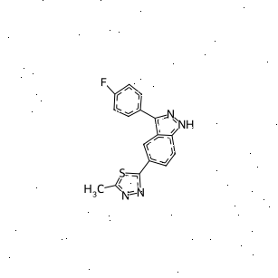 Cc1nnc(-c2ccc3[nH]nc(-c4ccc(F)cc4)c3c2)s1